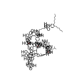 CCCCCCc1ccc(NC(=O)NCCCCNCc2c(O)cc3c(c2O)-c2cc(ccc2O)[C@H]2NC(=O)[C@@H]4NC(=O)[C@H](CC(N)=O)NC(=O)[C@H](NC(=O)[C@@H](CC(C)C)NC)[C@H](O)c5ccc(c(C)c5)Oc5cc4cc(c5O[C@@H]4O[C@H](CO)[C@@H](O)[C@H](O)[C@H]4O[C@H]4C[C@]5(C)NC(=O)O[C@@H]5[C@H](C)O4)Oc4ccc(cc4Cl)[C@@H](O)[C@H](NC2=O)C(=O)N[C@@H]3C(=O)O)cc1CCCCCC